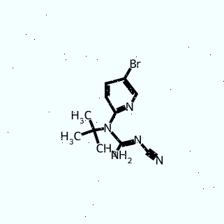 CC(C)(C)N(C(N)=NC#N)c1ccc(Br)cn1